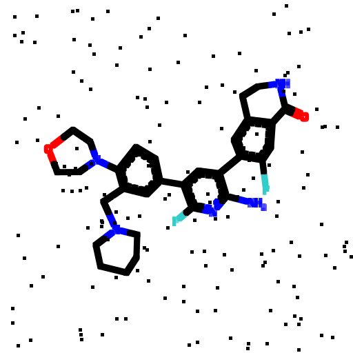 Nc1nc(F)c(-c2ccc(N3CCOCC3)c(CN3CCCCC3)c2)cc1-c1cc2c(cc1F)C(=O)NCC2